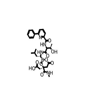 CNC(=O)[C@]1(CC(=O)O)CC(=O)OB([C@H](CC(C)C)NC(=O)C(NC(=O)c2cccc(-c3ccccc3)n2)[C@@H](C)O)O1